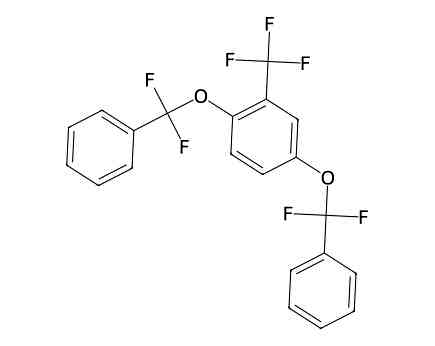 FC(F)(F)c1cc(OC(F)(F)c2ccccc2)ccc1OC(F)(F)c1ccccc1